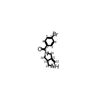 O=C(c1ccc(Br)cc1)N1CC2=CNCC2C1